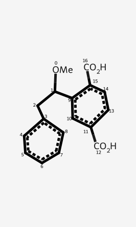 COC(Cc1ccccc1)c1cc(C(=O)O)ccc1C(=O)O